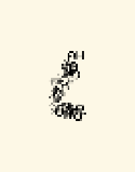 CC1(CN2CCN(c3ccc(N4CC(CO)OC4=O)cc3F)CC2)Cn2cc([N+](=O)[O-])nc2O1